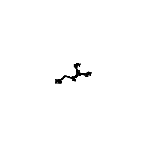 CCCN(CCC)SCS